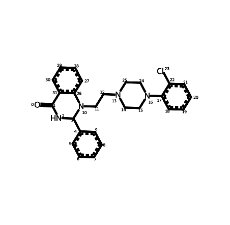 O=C1NC(c2ccccc2)N(CCN2CCN(c3ccccc3Cl)CC2)c2ccccc21